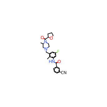 Cc1c(CN2CCN(C(=O)C3CCCO3)C(C)C2)cc(F)cc1NC(=O)c1cccc(C#N)c1